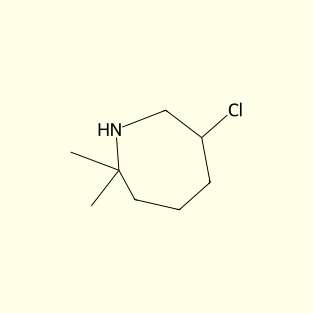 CC1(C)CCCC(Cl)CN1